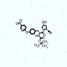 CC(C)(C)OC(=O)N[C@@H](Cc1ccc(Oc2ccc([N+](=O)[O-])cn2)cc1)C(=O)N1C[C@H](O)C[C@H]1C#N